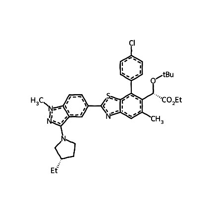 CCOC(=O)[C@@H](OC(C)(C)C)c1c(C)cc2nc(-c3ccc4c(c3)c(N3CC[C@H](CC)C3)nn4C)sc2c1-c1ccc(Cl)cc1